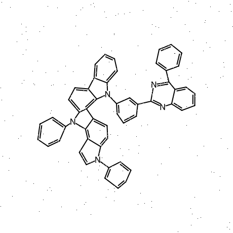 c1ccc(-c2nc(-c3cccc(-n4c5ccccc5c5ccc6c(c7ccc8c(ccn8-c8ccccc8)c7n6-c6ccccc6)c54)c3)nc3ccccc23)cc1